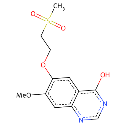 COc1cc2ncnc(O)c2cc1OCCS(C)(=O)=O